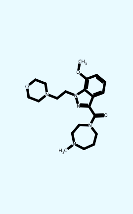 COc1cccc2c(C(=O)N3CCCN(C)CC3)nn(CCN3CCOCC3)c12